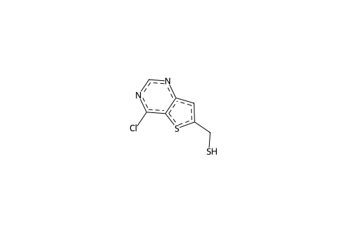 SCc1cc2ncnc(Cl)c2s1